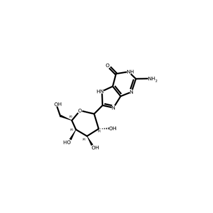 Nc1nc2nc(C3O[C@H](CO)[C@H](O)[C@H](O)[C@H]3O)[nH]c2c(=O)[nH]1